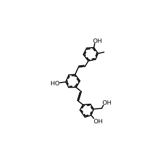 Cc1cc(/C=C/c2cc(O)cc(/C=C/c3ccc(O)c(CO)c3)c2)ccc1O